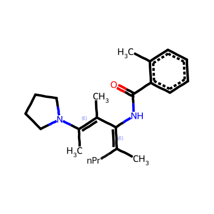 CCC/C(C)=C(NC(=O)c1ccccc1C)\C(C)=C(/C)N1CCCC1